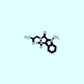 CC(=O)CN1C(=O)c2c(c3ccccc3n2C)S1(=O)=O